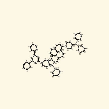 c1ccc(-c2nc(-c3ccccc3)nc(-c3ccc4c(c3)c3c5ccc6ccc(-c7ccc(N(c8ccccc8)c8ccccc8)cc7)c7ccc(cc3n4-c3ccccc3)c5c67)n2)cc1